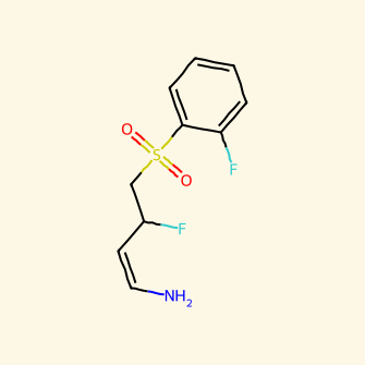 N/C=C\C(F)CS(=O)(=O)c1ccccc1F